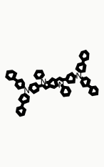 c1ccc(-c2ccc(N(c3ccc(-c4ccccc4)cc3)c3ccc(-c4cc5cc6c(cc(-c7ccc(N(c8ccc(-c9ccccc9)cc8)c8ccc(-c9ccccc9)cc8)cc7)n6-c6ccccc6)cc5n4-c4ccccc4)cc3)cc2)cc1